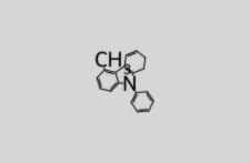 Cc1cccc2c1c1c(n2-c2ccccc2)CCC=C1